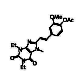 CCn1c(=O)c2c(nc(C=Cc3ccc(OC(C)=O)c(OC)c3)n2C)n(CC)c1=O